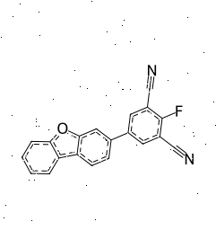 N#Cc1cc(-c2ccc3c(c2)oc2ccccc23)cc(C#N)c1F